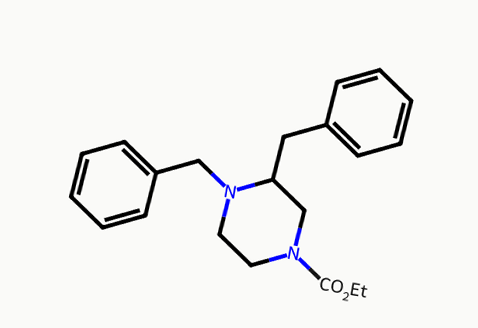 CCOC(=O)N1CCN(Cc2ccccc2)C(Cc2ccccc2)C1